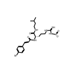 CC(C)CCNC(=O)[C@H](CCCNC(=N)N[N+](=O)[O-])NC(=O)/C=C/c1ccc(Br)cc1